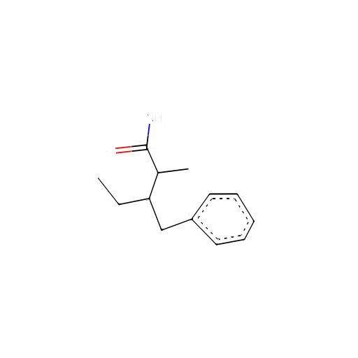 CCC(Cc1ccccc1)C(C)C(N)=O